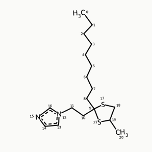 CCCCCCCCCC1(CCn2ccnc2)SCC(C)S1